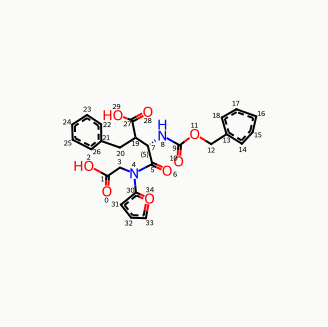 O=C(O)CN(C(=O)[C@@H](NC(=O)OCc1ccccc1)C(Cc1ccccc1)C(=O)O)c1ccco1